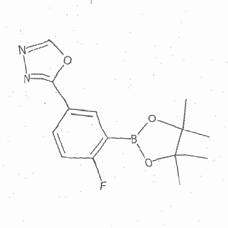 CC1(C)OB(c2cc(-c3nnco3)ccc2F)OC1(C)C